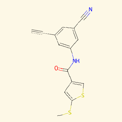 C#Cc1cc(C#N)cc(NC(=O)c2csc(SC)c2)c1